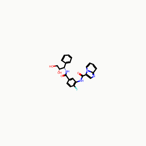 O=C(N[C@@H](c1ccccc1)[C@H](O)CO)c1ccc(F)c(NC(=O)c2cnc3ccccn23)c1